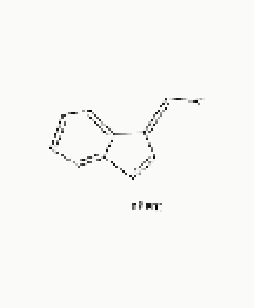 CCCCCC1=C/C(=C\Br)c2ccccc21